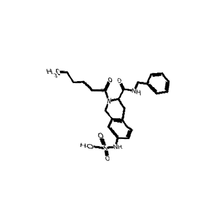 CCCCCC(=O)N1Cc2cc(NS(=O)(=O)O)ccc2CC1C(=O)NCc1ccccc1